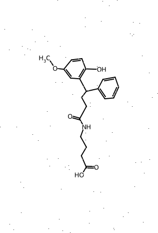 COc1ccc(O)c(C(CCC(=O)NCCCC(=O)O)c2ccccc2)c1